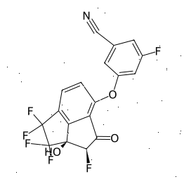 N#Cc1cc(F)cc(Oc2ccc3c4c2C(=O)[C@@H](F)[C@]4(O)C(F)(F)C3(F)F)c1